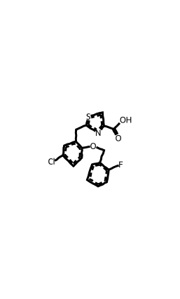 O=C(O)c1csc(Cc2cc(Cl)ccc2OCc2ccccc2F)n1